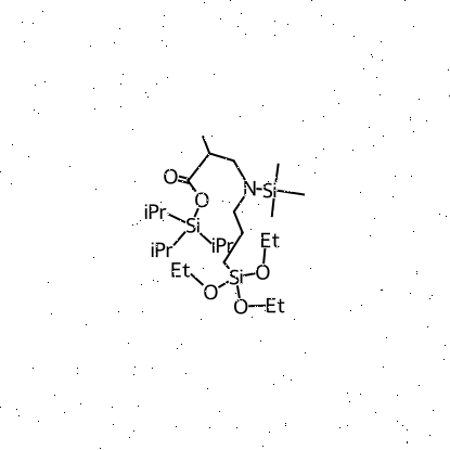 CCO[Si](CCCN(CC(C)C(=O)O[Si](C(C)C)(C(C)C)C(C)C)[Si](C)(C)C)(OCC)OCC